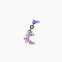 CC(C)(C)OC(=O)NCC(=O)Nc1nc(-c2ccc(-c3cn[nH]c3)cc2)cs1